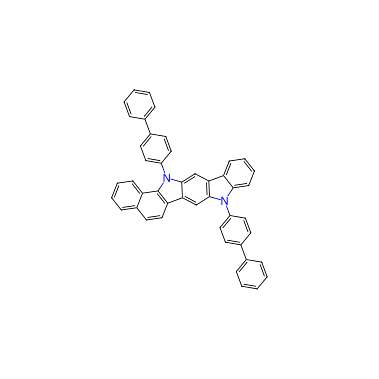 c1ccc(-c2ccc(-n3c4ccccc4c4cc5c(cc43)c3ccc4ccccc4c3n5-c3ccc(-c4ccccc4)cc3)cc2)cc1